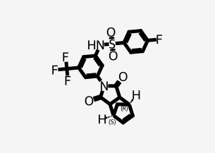 O=C1C2C(C(=O)N1c1cc(NS(=O)(=O)c3ccc(F)cc3)cc(C(F)(F)F)c1)[C@H]1C=C[C@@H]2C1